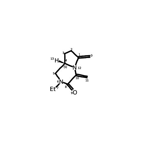 C=C1CC[C@H]2CN(CC)C(=O)C(=C)N12